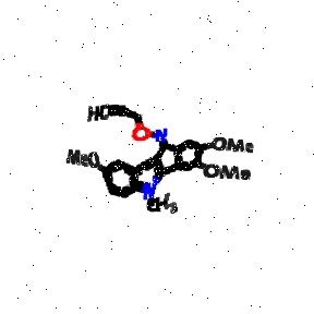 C#CCO/N=C1/c2cc(OC)c(OC)cc2-c2c1c1cc(OC)ccc1n2C